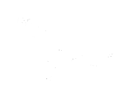 COc1nc(-c2ccccc2)ccc1N(C)c1ccc(SC(F)(F)C(=O)O)cc1